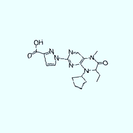 CCC1C(=O)N(C)c2cnc(-n3ccc(C(=O)O)n3)nc2N1C1CCCC1